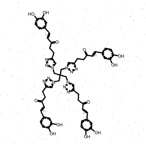 O=C(/C=C/c1ccc(O)c(O)c1)CCc1cn(CC(Cn2cc(CCC(=O)/C=C/c3ccc(O)c(O)c3)nn2)(Cn2cc(CCC(=O)/C=C/c3ccc(O)c(O)c3)nn2)Cn2cc(CCC(=O)/C=C/c3ccc(O)c(O)c3)nn2)nn1